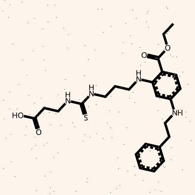 CCOC(=O)c1ccc(NCCc2ccccc2)cc1NCCCNC(=S)NCCC(=O)O